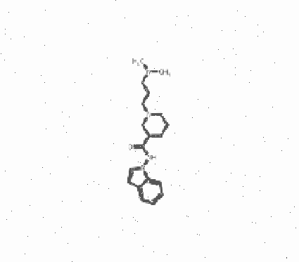 CN(C)CCCN1CCCC(C(=O)Nn2ccc3ccccc32)C1